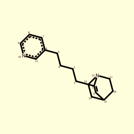 C1=C(CCCCc2cccnc2)N2CCC1CC2